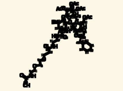 C#CC(=O)NCCOCCOCCC(=O)NCCNC(=O)C1CC(CC)C(O[C@@H]2OC(C)[C@@H](OC(C)=O)C(OC(C)=O)C2OC(C)=O)[C@H](O[C@@H]2OC(COC(C)=O)[C@@H]3OC[C@@H](CC4CCCCC4)OC3C2NC(C)=O)C1